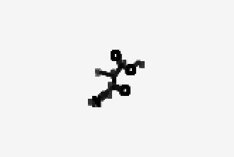 COC(=O)C(C)C(=O)C#N